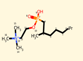 CC(C)C[CH]CC(C)CP(=O)(O)OCC[N+](C)(C)C